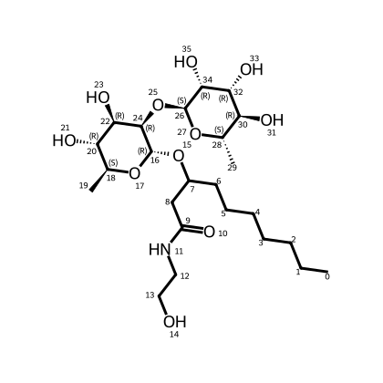 CCCCCCCC(CC(=O)NCCO)O[C@@H]1O[C@@H](C)[C@H](O)[C@@H](O)[C@H]1O[C@@H]1O[C@@H](C)[C@H](O)[C@@H](O)[C@H]1O